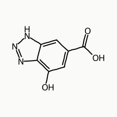 O=C(O)c1cc(O)c2nn[nH]c2c1